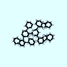 c1ccc(-c2ccc(-c3c(-c4ccccc4)ccc4ccccc34)cc2-c2nc(-c3cccc4c3oc3ccccc34)cc(-c3cccc4c3oc3ccccc34)n2)cc1